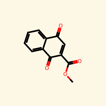 COC(=O)C1=CC(=O)c2ccccc2C1=O